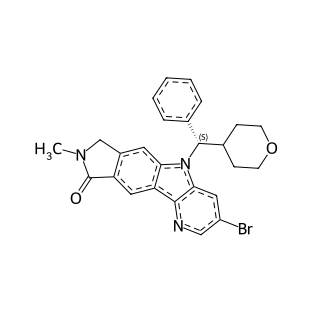 CN1Cc2cc3c(cc2C1=O)c1ncc(Br)cc1n3[C@H](c1ccccc1)C1CCOCC1